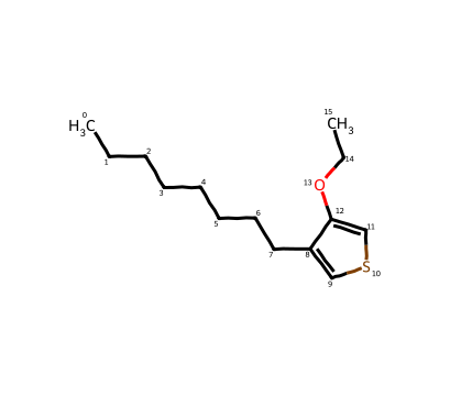 CCCCCCCCc1cscc1OCC